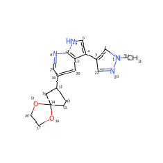 Cn1cc(-c2c[nH]c3ncc(C4CCC5(C4)OCCO5)cc23)cn1